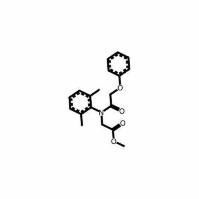 COC(=O)CN(C(=O)COc1ccccc1)c1c(C)cccc1C